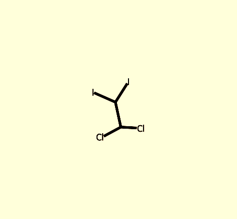 ClC(Cl)C(I)I